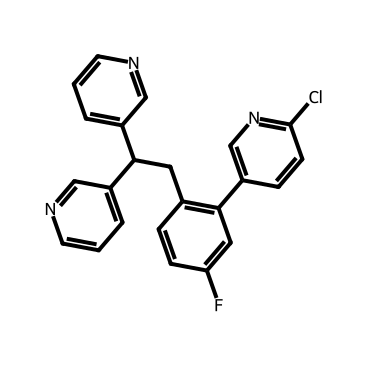 Fc1ccc(CC(c2cccnc2)c2cccnc2)c(-c2ccc(Cl)nc2)c1